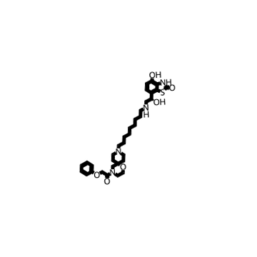 O=C(COc1ccccc1)N1CCOC2(CCN(CCCCCCCCCNC[C@H](O)c3ccc(O)c4[nH]c(=O)sc34)CC2)C1